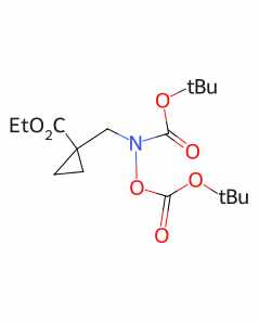 CCOC(=O)C1(CN(OC(=O)OC(C)(C)C)C(=O)OC(C)(C)C)CC1